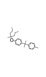 CCCC(C)(CCC)Oc1ccc(C(C)(C)c2ccc(C)cc2)cc1